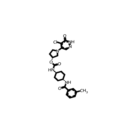 Cc1cccc(C(=O)N[C@H]2CC[C@H](NC(=O)O[C@@H]3CCN(c4cn[nH]c(=O)c4Cl)C3)CC2)c1